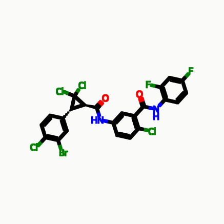 O=C(Nc1ccc(F)cc1F)c1cc(NC(=O)[C@H]2[C@H](c3ccc(Cl)c(Br)c3)C2(Cl)Cl)ccc1Cl